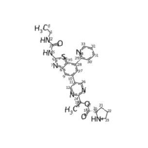 CCNC(=O)Nc1nc2cc(-c3cnc([C@H](C)OC(=O)[C@@H]4CCCN4)nc3)cc(-c3ccccn3)c2s1